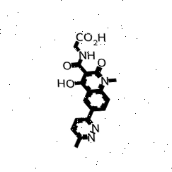 Cc1ccc(-c2ccc3c(c2)c(O)c(C(=O)NCC(=O)O)c(=O)n3C)nn1